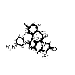 CCN1C(=O)Cn2c1nc1nc(N3CCC[C@@H](N)C3)n(-c3cc(F)ccc3C(F)(F)F)c1c2=O